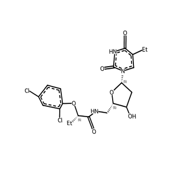 CCc1cn([C@@H]2CC(O)[C@H](CNC(=O)[C@H](CC)Oc3ccc(Cl)cc3Cl)O2)c(=O)[nH]c1=O